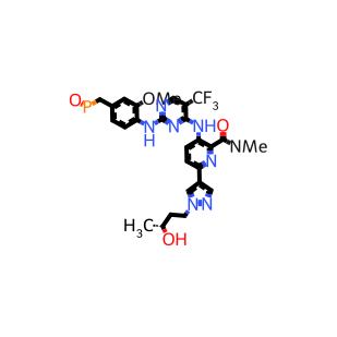 CNC(=O)c1nc(-c2cnn(CC[C@@H](C)O)c2)ccc1Nc1nc(Nc2ccc(CP=O)cc2OC)ncc1C(F)(F)F